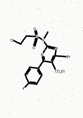 CCOC(=O)c1c(-c2ccc(F)cc2)nc(N(C)S(=O)(=O)CCCl)nc1C(C)C